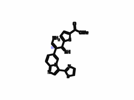 COC(=O)c1ccc(C(=N)/C(=C\N)c2ccc3ncc(-c4nccs4)n3c2)s1